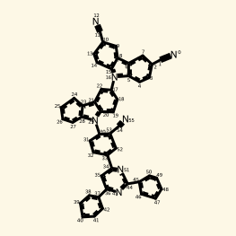 N#Cc1ccc2c(c1)c1cc(C#N)ccc1n2-c1ccc2c(c1)c1ccccc1n2-c1ccc(-c2cc(-c3ccccc3)nc(-c3ccccc3)n2)cc1C#N